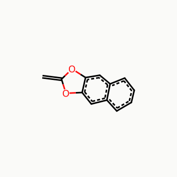 C=C1Oc2cc3ccccc3cc2O1